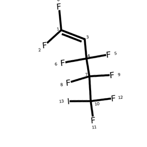 FC(F)=CC(F)(F)C(F)(F)C(F)(F)I